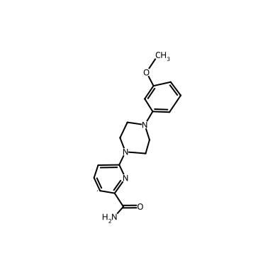 COc1cccc(N2CCN(c3cc[c]c(C(N)=O)n3)CC2)c1